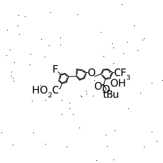 CC(C)(C)OC(=O)c1c(COc2ccc(-c3cc(F)cc(CC(=O)O)c3)cc2)ccc(C(F)(F)F)c1O